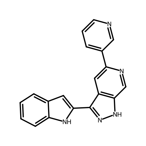 c1cncc(-c2cc3c(-c4cc5ccccc5[nH]4)n[nH]c3cn2)c1